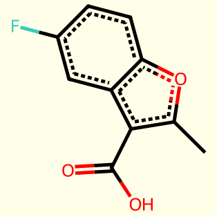 Cc1oc2ccc(F)cc2c1C(=O)O